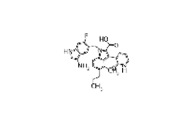 CCCc1ccc2c(c1C)c(-c1ccc[nH]c1=O)c(C(=O)O)n2Cc1cc2c(N)c[nH]c2cc1F